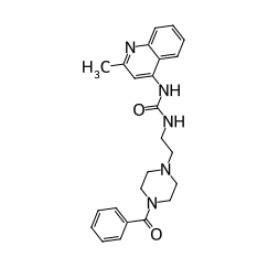 Cc1cc(NC(=O)NCCN2CCN(C(=O)c3ccccc3)CC2)c2ccccc2n1